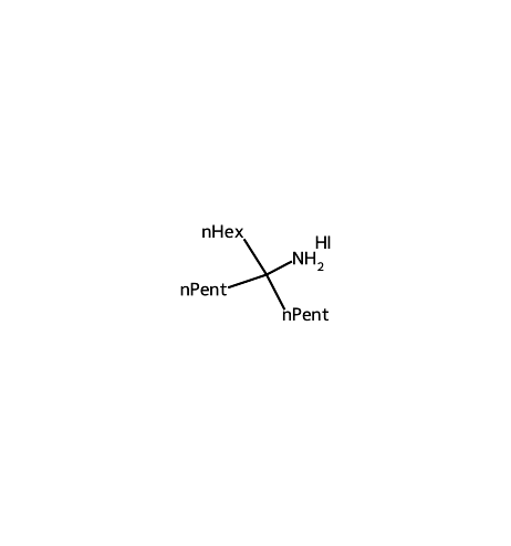 CCCCCCC(N)(CCCCC)CCCCC.I